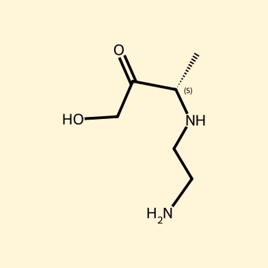 C[C@H](NCCN)C(=O)CO